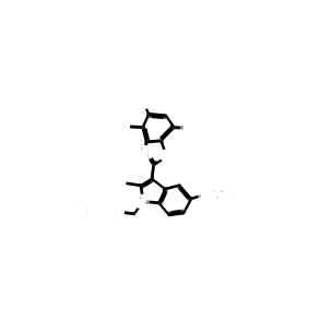 COc1ccc2c(c1)c(-c1nc3c(F)c(F)cc(F)c3s1)c(C)n2CC(=O)O